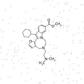 COC(=O)c1ccc2c(C3CCCCC3)c3n(c2c1)CCN(CCN(C)C)Cc1ccoc1-3